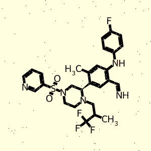 Cc1cc(Nc2ccc(F)cc2)c(C=N)cc1[C@@H]1CN(S(=O)(=O)c2cccnc2)CCN1CC(C)C(F)(F)F